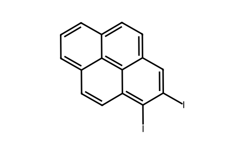 Ic1cc2ccc3cccc4ccc(c1I)c2c34